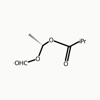 CC(C)C(=O)O[C@@H](C)O[C]=O